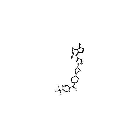 O=C(c1cnc(C(F)(F)F)cn1)N1CCC(N2CC(n3cc(-c4c(F)cnc5[nH]ccc45)cn3)C2)CC1